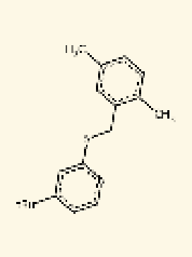 Cc1ccc(C)c(CSc2cc(C(C)(C)C)ccn2)c1